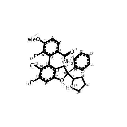 COc1ccc(C(N)=O)c(-c2c(Cl)c(F)cc3c2C[C@](c2ccccc2)(C2CCCN2)O3)c1F